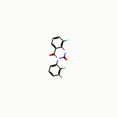 O=c1[nH]c2c(F)cccc2c(=O)n1-c1cccc(Br)c1Cl